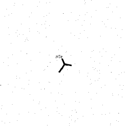 CC(C)[TeH]